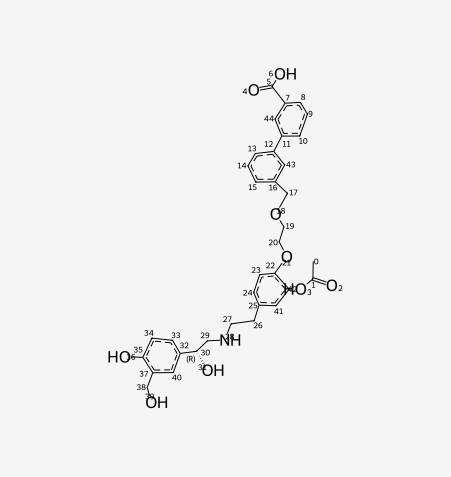 CC(=O)O.O=C(O)c1cccc(-c2cccc(COCCOc3ccc(CCNC[C@H](O)c4ccc(O)c(CO)c4)cc3)c2)c1